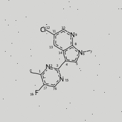 Cc1nc(-c2cn(C)c3ncc(Cl)cc23)ncc1F